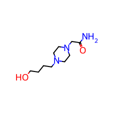 NC(=O)CN1CCN(CCCCO)CC1